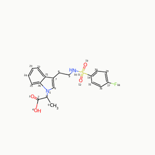 CC(C(=O)O)n1cc(CCNS(=O)(=O)c2ccc(F)cc2)c2ccccc21